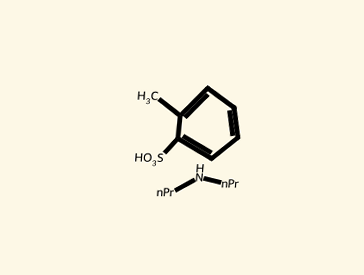 CCCNCCC.Cc1ccccc1S(=O)(=O)O